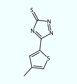 Cc1csc(C2=NC(=S)N=N2)c1